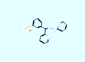 O=S(=O)(O)c1cccc(C(=NNc2ccccn2)c2ccccn2)c1